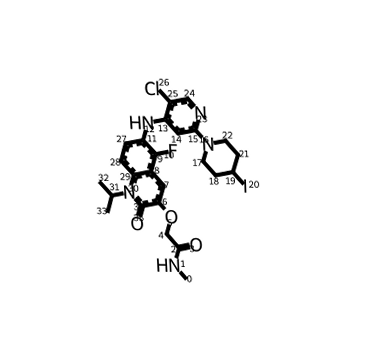 CNC(=O)COc1cc2c(F)c(Nc3cc(N4CCC(I)CC4)ncc3Cl)ccc2n(C(C)C)c1=O